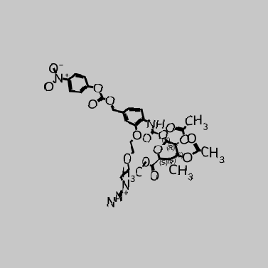 COC(=O)[C@H]1O[C@@H](OC(=O)Nc2ccc(COC(=O)Oc3ccc([N+](=O)[O-])cc3)cc2OCCOCCN=[N+]=[N-])[C@H](OC(C)=O)[C@@H](OC(C)=O)[C@@H]1C